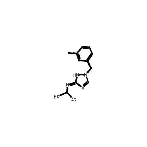 CCC(CC)/N=c1\ncn(Cc2cccc(C)c2)[nH]1